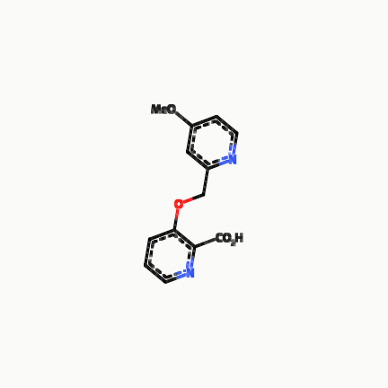 COc1ccnc(COc2cccnc2C(=O)O)c1